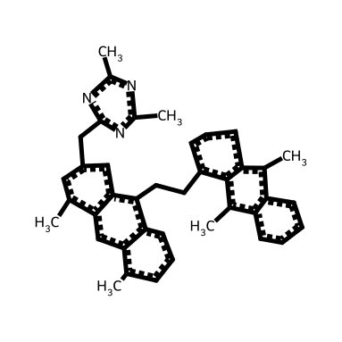 Cc1nc(C)nc(Cc2cc(C)c3cc4c(C)cccc4c(CCc4cccc5c(C)c6ccccc6c(C)c45)c3c2)n1